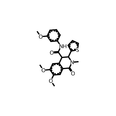 COc1cccc(NC(=O)C2c3cc(OC)c(OC)cc3C(=O)N(C)C2c2cccs2)c1